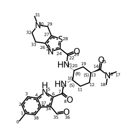 Cc1ccc2[nH]c(C(=O)N[C@H]3CC[C@H](C(=O)N(C)C)C[C@H]3NC(=O)c3nc4c(s3)CN(C)CC4)c(C=O)c2c1